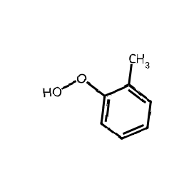 Cc1ccccc1OO